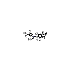 N=C/C(=C\Nc1c(Cl)cc(C(F)(C(F)(F)F)C(F)(F)F)cc1Cl)c1cc(C(=O)O)c(Cl)s1